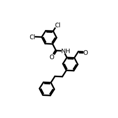 O=Cc1ccc(CCc2ccccc2)cc1NC(=O)c1cc(Cl)cc(Cl)c1